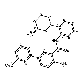 COc1cncc(-c2ccc(N)c(C(=O)Nc3cnccc3N3CCC[C@H](N)C3)n2)n1